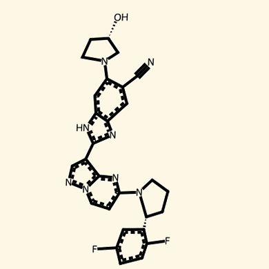 N#Cc1cc2nc(-c3cnn4ccc(N5CCC[C@@H]5c5cc(F)ccc5F)nc34)[nH]c2cc1N1CC[C@H](O)C1